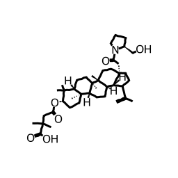 C=C(C)C1CC[C@]2(CC(=O)N3CCC[C@H]3CO)CC[C@]3(C)[C@H](CC[C@@H]4[C@@]5(C)CC[C@H](OC(=O)CC(C)(C)C(=O)O)C(C)(C)[C@@H]5CC[C@]43C)[C@@H]12